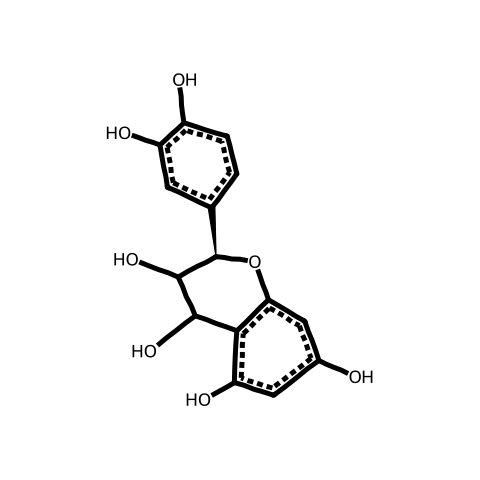 Oc1cc(O)c2c(c1)O[C@H](c1ccc(O)c(O)c1)C(O)C2O